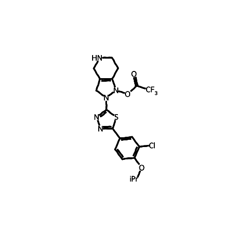 CC(C)Oc1ccc(-c2nnc(N3CC4=C(CCNC4)N3OC(=O)C(F)(F)F)s2)cc1Cl